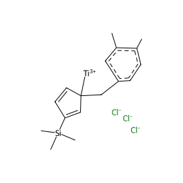 Cc1ccc(C[C]2([Ti+3])C=CC([Si](C)(C)C)=C2)cc1C.[Cl-].[Cl-].[Cl-]